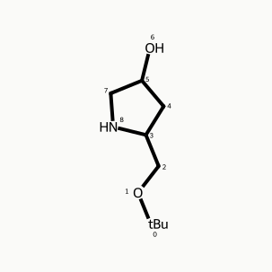 CC(C)(C)OCC1CC(O)CN1